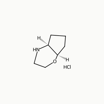 C1C[C@@H]2NCCO[C@@H]2C1.Cl